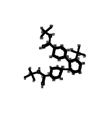 CC(C)(C)OC(=O)c1ccc(-c2[c]ccc(C(C)(C)C)c2-c2ccc(C(=O)OC(C)(C)C)cc2)cc1